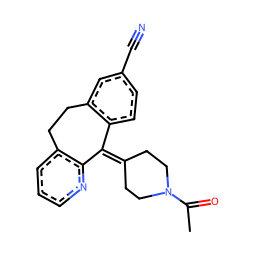 CC(=O)N1CCC(=C2c3ccc(C#N)cc3CCc3cccnc32)CC1